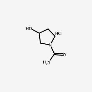 Cl.NC(=O)N1CCC(O)C1